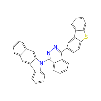 c1ccc2cc3c(cc2c1)c1ccccc1n3-c1nnc(-c2ccc3sc4ccccc4c3c2)c2ccccc12